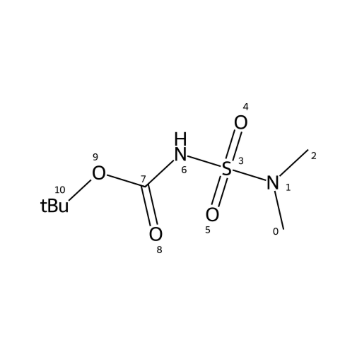 CN(C)S(=O)(=O)NC(=O)OC(C)(C)C